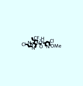 C=C[C@@]1(C(F)(F)F)CN(C(=O)Nc2cnc(OC)c(Cl)c2)c2cnc3cc(Cl)nn3c21